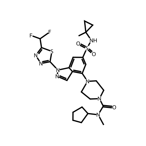 CN(C(=O)N1CCN(c2cc(S(=O)(=O)NC3(C)CC3)cc3c2cnn3-c2nnc(C(F)F)s2)CC1)C1CCCC1